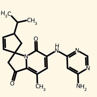 Cc1cc(Nc2cc(N)ncn2)c(=O)n2c1C(=O)CC21C=CC(C(C)C)C1